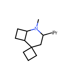 CC(C)C1CC2(CCC2)C2CCC2N1C